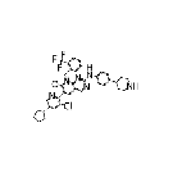 O=c1c(-c2ncc(C3CCCC3)cc2Cl)cc2cnc(Nc3ccc(C4CCNCC4)cc3)nc2n1Cc1ccccc1C(F)(F)F